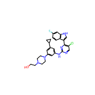 OCCN1CCN(c2cc(Nc3ncc(Cl)c(-c4c[nH]c5cc(F)ccc45)n3)cc(C3CC3)c2)CC1